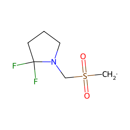 [CH2]S(=O)(=O)CN1CCCC1(F)F